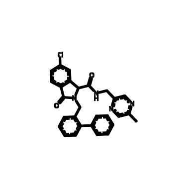 Cc1cnc(CNC(=O)C2c3cc(Cl)ccc3C(=O)N2Cc2ccccc2-c2ccccc2)cn1